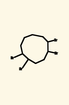 BrC1CCCCC(Br)C(Br)CCC1Br